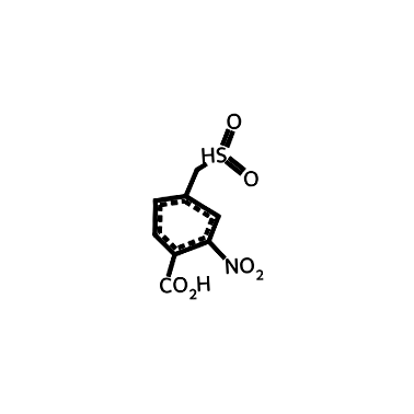 O=C(O)c1ccc(C[SH](=O)=O)cc1[N+](=O)[O-]